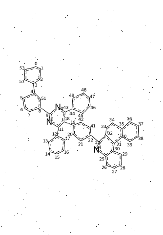 c1ccc(-c2cccc(-c3nc(-c4ccccc4)c(-c4ccc(-c5nc6ccccc6c6c5ccc5ccccc56)cc4)c(-c4ccccc4)n3)c2)cc1